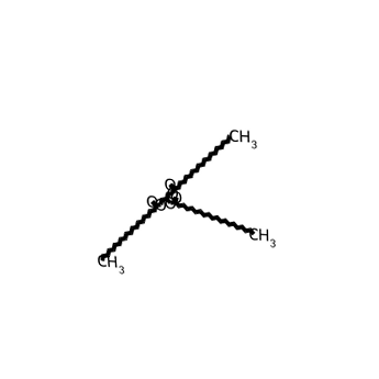 CCCCCCCCCCCCCCCCCCCC(=O)OCC(COC(=O)CCCCCCCCCCCCCCCCCCC)OC(=O)CCCCCCCCCCCCCCCCCCC